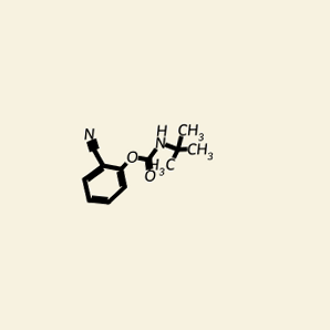 CC(C)(C)NC(=O)Oc1ccccc1C#N